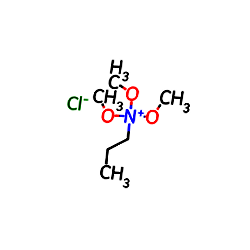 CCC[N+](OC)(OC)OC.[Cl-]